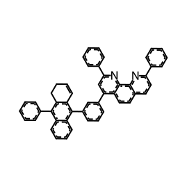 C1=Cc2c(c(-c3ccccc3)c3ccccc3c2-c2cccc(-c3cc(-c4ccccc4)nc4c3ccc3ccc(-c5ccccc5)nc34)c2)CC1